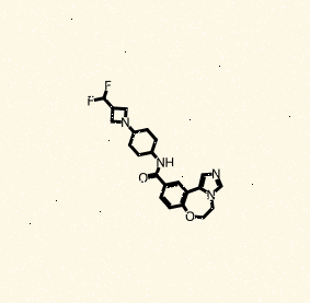 O=C(NC1CCC(N2CC(C(F)F)C2)CC1)c1ccc2c(c1)-c1cncn1CCO2